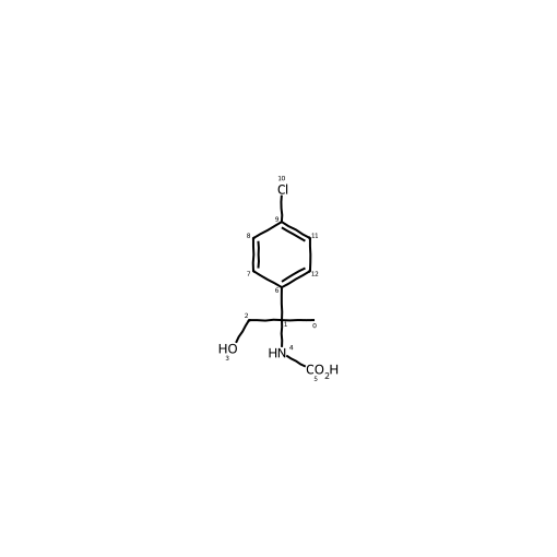 CC(CO)(NC(=O)O)c1ccc(Cl)cc1